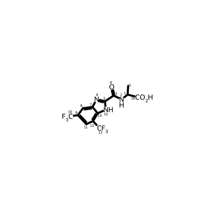 CC(NC(=O)c1nc2cc(C(F)(F)F)cc(C(F)(F)F)c2[nH]1)C(=O)O